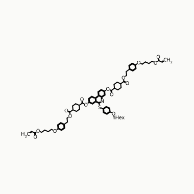 C=CC(=O)OCCCCOc1ccc(CCOC(=O)C2CCC(C(=O)Oc3ccc4c(c3)nc(Sc3ccc(OCCCCCC)cc3)c3cc(OC(=O)C5CCC(C(=O)OCCc6ccc(OCCCCOC(=O)C=C)cc6)CC5)ccc34)CC2)cc1